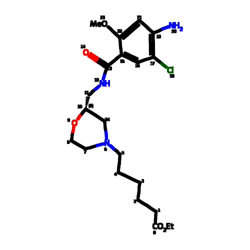 CCOC(=O)CCCCCN1CCO[C@H](CNC(=O)c2cc(Cl)c(N)cc2OC)C1